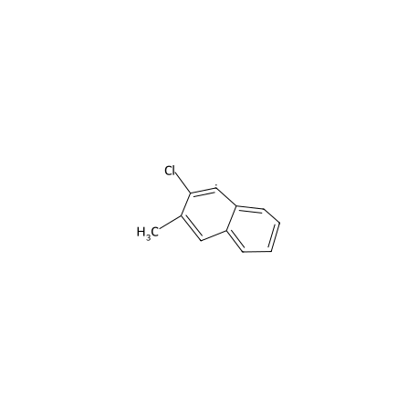 Cc1cc2ccccc2[c]c1Cl